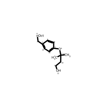 CCCCCCCCCc1ccc(OC(C)(C)CCO)cc1